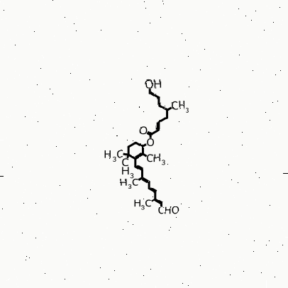 CC1=C(/C=C/C(C)=C/C=C/C(C)=C/C=O)C(C)(C)CCC1OC(=O)/C=C/CC(C)CCCO